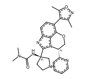 Cc1noc(C)c1-c1ccc2nc([C@@]3(NC(=O)N(C)C)CCNC3)n3c2c1OC[C@@H]3c1ccccn1